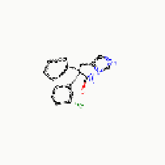 Cl.NC(=O)C(Cc1c[nH]cn1)(c1ccccc1)c1ccccc1